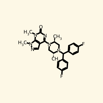 C[C@@H]1CN(c2nc(=O)n(C)c3c2cnn3C)[C@@H](C)CN1C(c1ccc(F)cc1)c1ccc(F)cc1